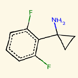 NC1(c2c(F)cccc2F)CC1